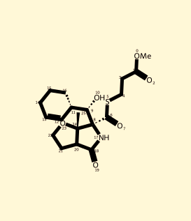 COC(=O)CCSC(=O)[C@]1([C@@H](O)[C@@H]2C=CCCC2)NC(=O)C2CCO[C@@]21C